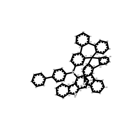 c1ccc(-c2ccc(N(c3ccc4c(c3)C3(c5ccccc5-c5ccccc5-4)c4ccccc4-c4c3ccc3oc5ccccc5c43)c3cccc4oc5ccccc5c34)cc2)cc1